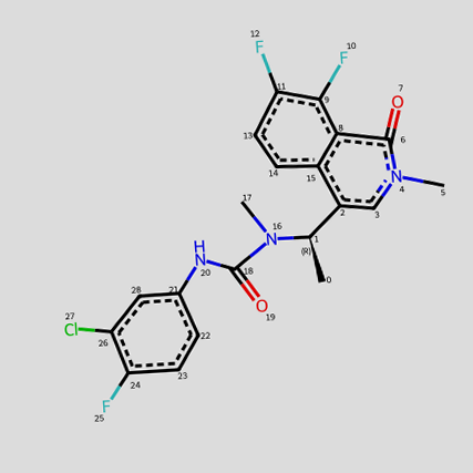 C[C@H](c1cn(C)c(=O)c2c(F)c(F)ccc12)N(C)C(=O)Nc1ccc(F)c(Cl)c1